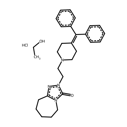 CCO.Cl.O=c1n(CCN2CCC(=C(c3ccccc3)c3ccccc3)CC2)nc2n1CCCCC2